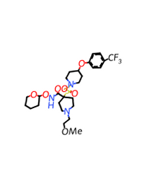 COCCN1CCC(C(=O)NOC2CCCCO2)(S(=O)(=O)N2CCC(Oc3ccc(C(F)(F)F)cc3)CC2)CC1